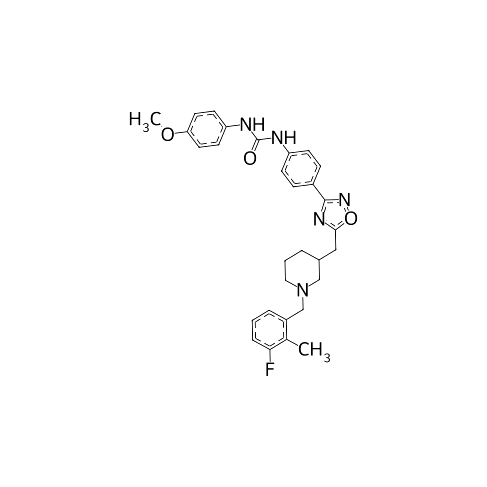 COc1ccc(NC(=O)Nc2ccc(-c3noc(CC4CCCN(Cc5cccc(F)c5C)C4)n3)cc2)cc1